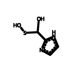 OSC(O)c1ncc[nH]1